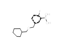 OB(O)c1cc(COCC2CCCCC2)ccc1F